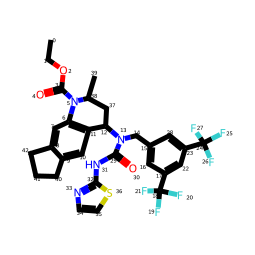 CCOC(=O)N1c2cc3c(cc2C(N(Cc2cc(C(F)(F)F)cc(C(F)(F)F)c2)C(=O)Nc2nccs2)CC1C)CCC3